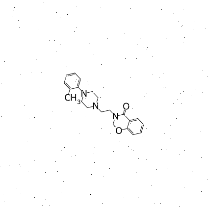 Cc1ccccc1N1CCN(CCN2COc3ccccc3C2=O)CC1